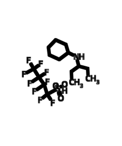 CCC(CC)NC1CCCCC1.O=S(=O)(O)C(F)(F)C(F)(F)C(F)(F)C(F)(F)F